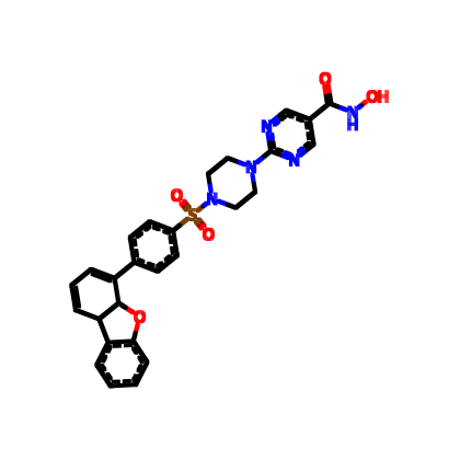 O=C(NO)c1cnc(N2CCN(S(=O)(=O)c3ccc(C4=CC=CC5c6ccccc6OC45)cc3)CC2)nc1